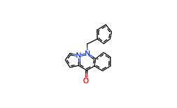 O=c1c2ccccc2n(Cc2ccccc2)n2cccc12